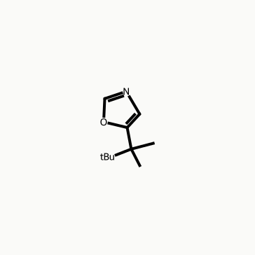 CC(C)(C)C(C)(C)c1cnco1